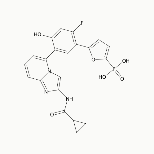 O=C(Nc1cn2c(-c3cc(-c4ccc(P(=O)(O)O)o4)c(F)cc3O)cccc2n1)C1CC1